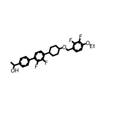 CCOc1ccc(COC2CCC(c3ccc(-c4ccc(C(C)O)cc4)c(F)c3F)CC2)c(F)c1F